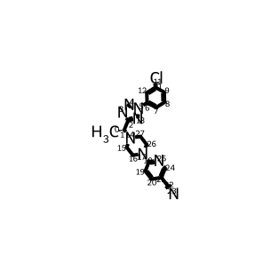 C[C@H](c1nnn(-c2cccc(Cl)c2)n1)N1CCN(c2ccc(C#N)cn2)CC1